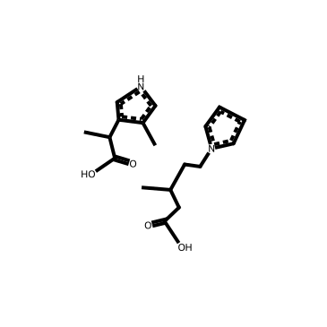 CC(CCn1cccc1)CC(=O)O.Cc1c[nH]cc1C(C)C(=O)O